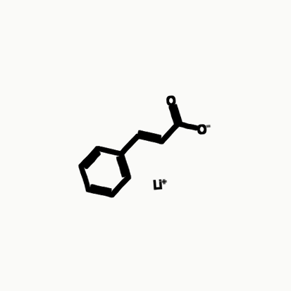 O=C([O-])/C=C/c1ccccc1.[Li+]